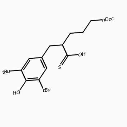 CCCCCCCCCCCCCC(Cc1cc(C(C)(C)C)c(O)c(C(C)(C)C)c1)C(O)=S